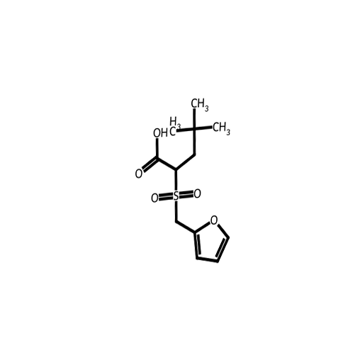 CC(C)(C)CC(C(=O)O)S(=O)(=O)Cc1ccco1